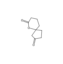 O=C1CCC2(CCCC(=O)O2)C1